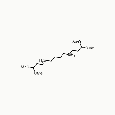 COC(CC[SiH2]CCCC[SiH2]CCC(OC)OC)OC